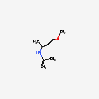 C=C(C)NC(C)CCOC